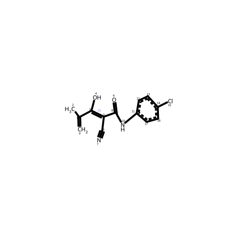 C=C(C)/C(O)=C(\C#N)C(=O)Nc1ccc(Cl)cc1